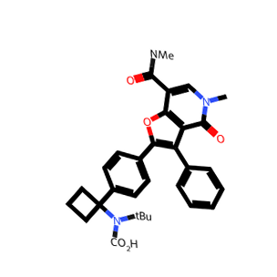 CNC(=O)c1cn(C)c(=O)c2c(-c3ccccc3)c(-c3ccc(C4(N(C(=O)O)C(C)(C)C)CCC4)cc3)oc12